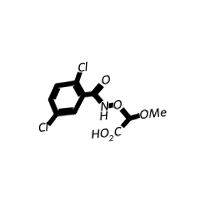 COC(ONC(=O)c1cc(Cl)ccc1Cl)C(=O)O